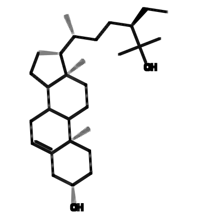 CC[C@H](CC[C@@H](C)[C@H]1CCC2C3CC=C4C[C@@H](O)CC[C@]4(C)C3CC[C@@]21C)C(C)(C)O